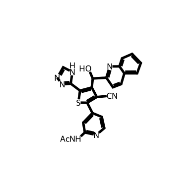 CC(=O)Nc1cc(-c2sc(-c3nnc[nH]3)c(C(O)c3ccc4ccccc4n3)c2C#N)ccn1